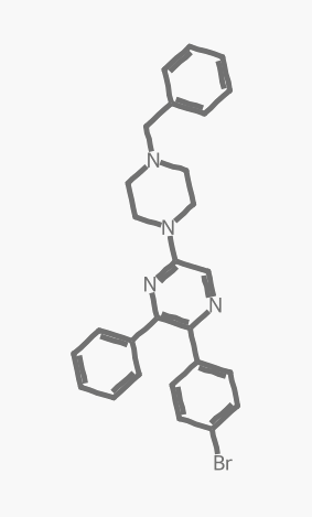 Brc1ccc(-c2ncc(N3CCN(Cc4ccccc4)CC3)nc2-c2ccccc2)cc1